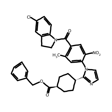 Cc1cc(-n2ccnc2[C@H]2CC[C@H](C(=O)OCc3ccccc3)CC2)c([N+](=O)[O-])cc1C(=O)N1CCc2cc(Cl)ccc21